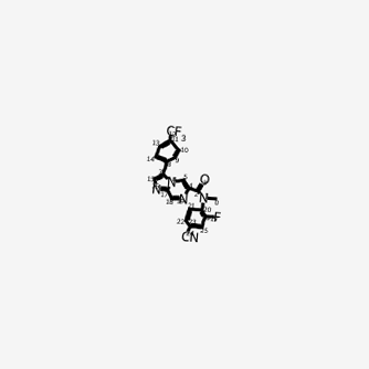 CN(C(=O)c1cn2c(-c3ccc(C(F)(F)F)cc3)cnc2cn1)c1ccc(C#N)cc1F